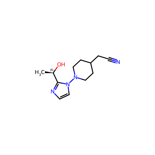 C[C@@H](O)c1nccn1N1CCC(CC#N)CC1